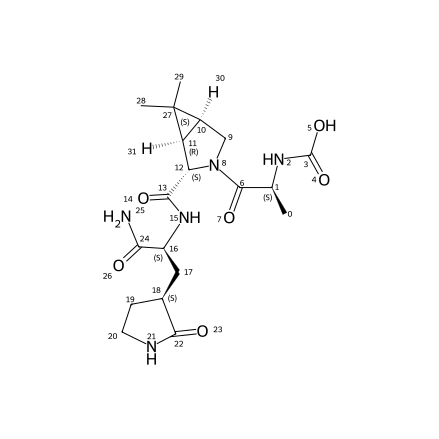 C[C@H](NC(=O)O)C(=O)N1C[C@H]2[C@@H]([C@H]1C(=O)N[C@@H](C[C@@H]1CCNC1=O)C(N)=O)C2(C)C